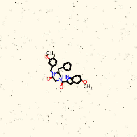 COc1cccc(CN2C(=O)CN(C(=O)c3cc4cc(OC)ccc4[nH]3)C[C@@H]2Cc2ccccc2)c1